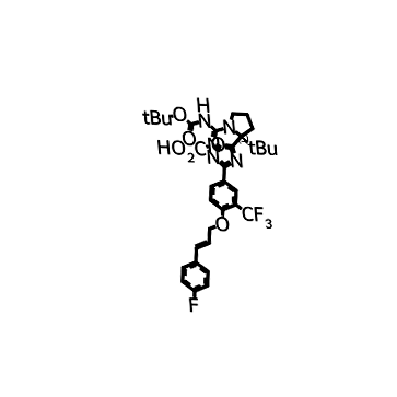 CC(C)(C)OC(=O)NC(=NC(=O)O)N1CCC[C@@]1(c1nc(-c2ccc(OCC=Cc3ccc(F)cc3)c(C(F)(F)F)c2)no1)C(C)(C)C